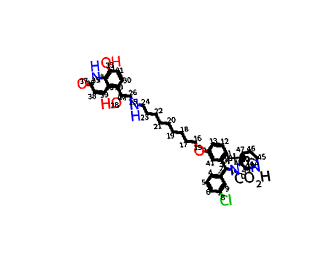 O=C(O)N(C(c1cccc(Cl)c1)c1cccc(OCCCCCCCCCNC[C@H](O)c2ccc(O)c3[nH]c(=O)ccc23)c1)[C@H]1CN2CCC1CC2